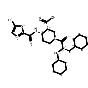 Cc1cnc(C(=O)N[C@H]2CCN(C(=O)[C@@H](CC3CCCCC3)NC3CCCCC3)C[C@H]2C(=O)O)s1